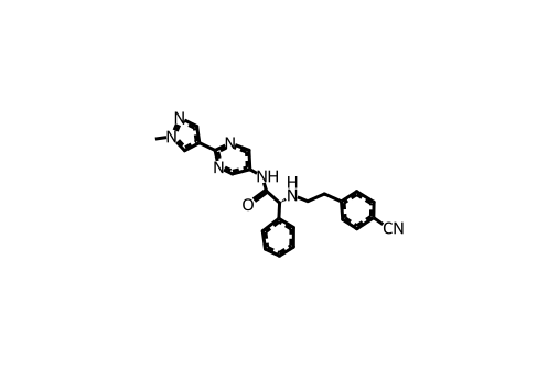 Cn1cc(-c2ncc(NC(=O)[C@H](NCCc3ccc(C#N)cc3)c3ccccc3)cn2)cn1